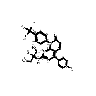 O=c1ccc2c(-c3ccc(Cl)cc3)nc(NC(O)(CO)CO)nc2n1-c1ccc(C(F)(F)F)cc1